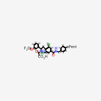 CCCCCc1ccc(CNC(=O)c2cc(Br)c(CC(NC(=O)C(=O)O)c3cccc(OC(F)(F)F)c3)c(Br)c2)cc1